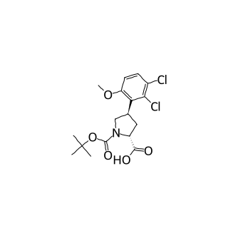 COc1ccc(Cl)c(Cl)c1[C@H]1C[C@H](C(=O)O)N(C(=O)OC(C)(C)C)C1